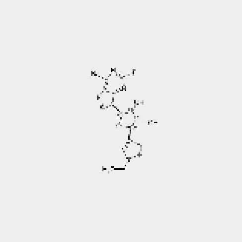 CCn1nnc([C@H]2O[C@@H](n3cnc4c(N)nc(F)nc43)[C@H](O)[C@@H]2O)n1